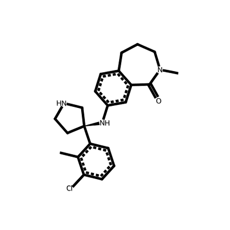 Cc1c(Cl)cccc1[C@]1(Nc2ccc3c(c2)C(=O)N(C)CCC3)CCNC1